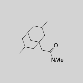 CNC(=O)CC12CC(C)CC(CC(C)C1)C2